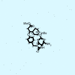 CCCCOc1nc(N)c2[nH]c(=O)n(Cc3ccc(OC(CC(=O)OC)C4CCNCC4)cc3)c2n1